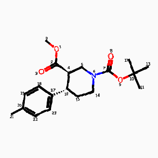 COC(=O)[C@H]1CN(C(=O)OC(C)(C)C)CC[C@@H]1c1ccc(C)cc1